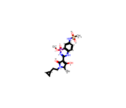 CCOP1(=O)N=C(C2=C(O)C(C(C)(C)C)N(CCC3CC3)C2=O)Nc2ccc(NS(C)(=O)=O)cc21